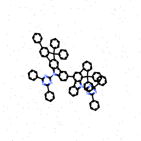 c1ccc(-c2ccc3c(c2)C(c2ccccc2)(c2ccccc2)c2cc4c5cc(-c6cc7c(c8c6c6ccccc6n8-c6nc(-c8ccccc8)nc(-c8ccccc8)n6)C(c6ccccc6)(c6ccccc6)c6ccccc6-7)ccc5n(-c5nc(-c6ccccc6)nc(-c6ccccc6)n5)c4cc2-3)cc1